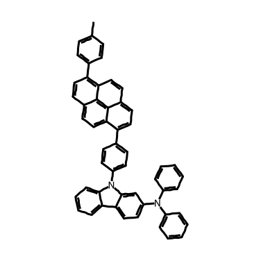 Cc1ccc(-c2ccc3ccc4c(-c5ccc(-n6c7ccccc7c7ccc(N(c8ccccc8)c8ccccc8)cc76)cc5)ccc5ccc2c3c54)cc1